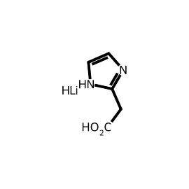 O=C(O)Cc1ncc[nH]1.[LiH]